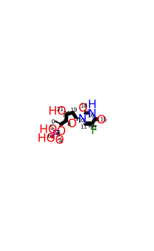 C[C@H](OP(=O)(O)O)[C@H]1O[C@@H](n2cc(F)c(=O)[nH]c2=O)C[C@@H]1O